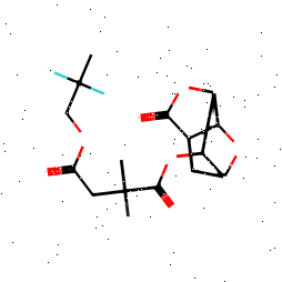 CCC(C)(CC(=O)OCC(C)(F)F)C(=O)OC1C2CC3C(=O)OC1C3O2